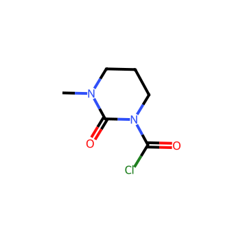 CN1CCCN(C(=O)Cl)C1=O